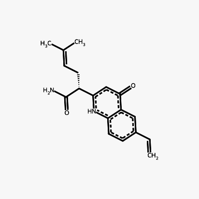 C=Cc1ccc2[nH]c([C@@H](CC=C(C)C)C(N)=O)cc(=O)c2c1